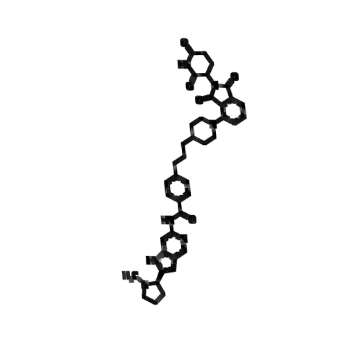 CN1CCC[C@@H]1c1cc2cnc(NC(=O)c3ccc(CCCC4CCN(c5cccc6c5C(=O)N(C5CCC(=O)NC5=O)C6=O)CC4)cc3)cc2[nH]1